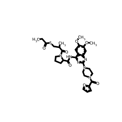 CCC(=O)SCC(C)C(=O)N1CCCC1C(=O)Nc1nc(N2CCN(C(=O)c3ccco3)CC2)nc2cc(OC)c(OC)cc12